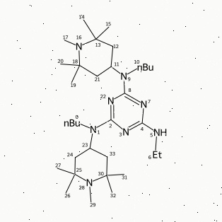 CCCCN(c1nc(NCC)nc(N(CCCC)C2CC(C)(C)N(C)C(C)(C)C2)n1)C1CC(C)(C)N(C)C(C)(C)C1